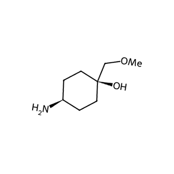 COC[C@]1(O)CC[C@@H](N)CC1